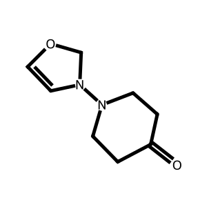 O=C1CCN(N2C=COC2)CC1